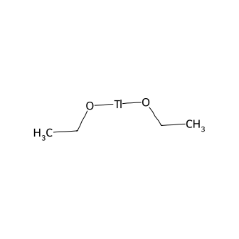 CC[O][Tl][O]CC